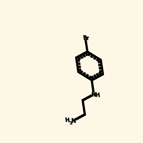 NCCNc1ccc(Br)cc1